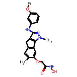 CCOc1cccc(Nc2nn(C)c3c2Cc2cc(C)c(OCC(=O)NO)cc2-3)c1